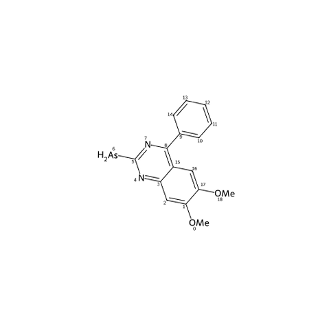 COc1cc2nc([AsH2])nc(-c3ccccc3)c2cc1OC